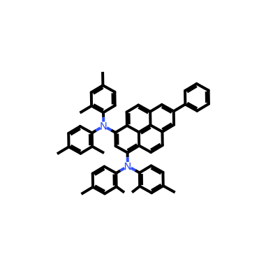 Cc1ccc(N(c2ccc(C)cc2C)c2cc(N(c3ccc(C)cc3C)c3ccc(C)cc3C)c3ccc4cc(-c5ccccc5)cc5ccc2c3c54)c(C)c1